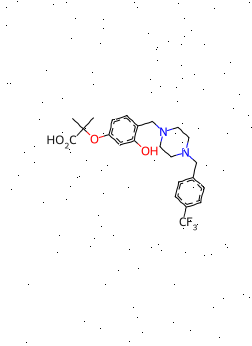 CC(C)(Oc1ccc(CN2CCN(Cc3ccc(C(F)(F)F)cc3)CC2)c(O)c1)C(=O)O